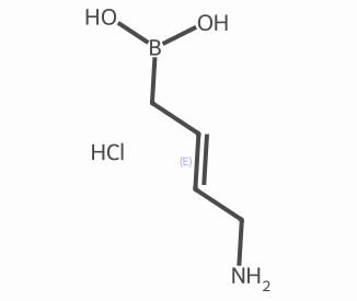 Cl.NC/C=C/CB(O)O